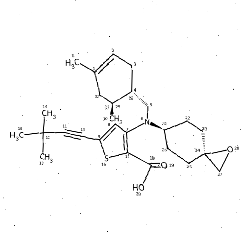 CC1=CC[C@H](CN(c2cc(C#CC(C)(C)C)sc2C(=O)O)[C@H]2CC[C@@]3(CC2)CO3)[C@@H](C)C1